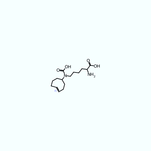 NC(CCCCN(C(=O)O)C1CC/C=C/CCC1)C(=O)O